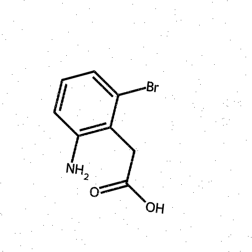 Nc1cccc(Br)c1CC(=O)O